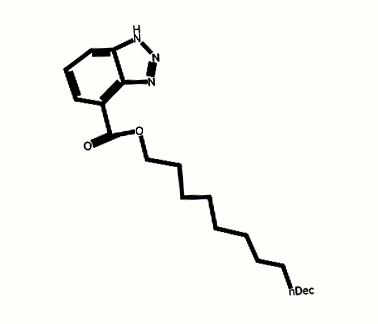 CCCCCCCCCCCCCCCCCCOC(=O)c1cccc2[nH]nnc12